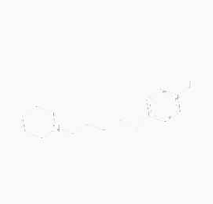 Fc1ccc(SCCCCN2CC[CH]CC2)cc1